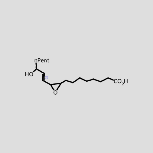 CCCCCC(O)/C=C/C1OC1CCCCCCCC(=O)O